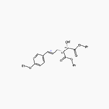 CCOc1ccc(/C=C/C[C@@H](C(=O)OC(C)C)[C@H](O)C(=O)OC(C)C)cc1